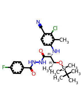 Cc1c(N[C@@H](C(=O)NNC(=O)c2ccc(F)cc2)[C@@H](C)O[Si](C)(C)C(C)(C)C)ccc(C#N)c1Cl